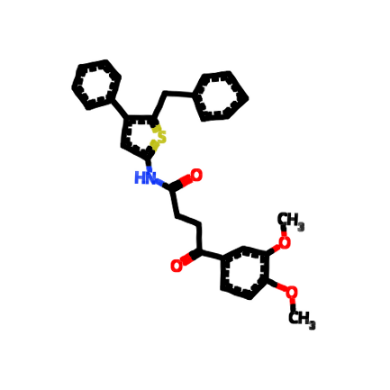 COc1ccc(C(=O)CCC(=O)Nc2cc(-c3ccccc3)c(Cc3ccccc3)s2)cc1OC